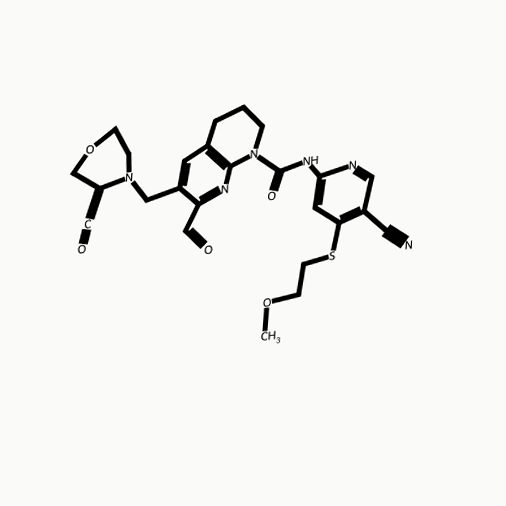 COCCSc1cc(NC(=O)N2CCCc3cc(CN4CCOCC4=C=O)c(C=O)nc32)ncc1C#N